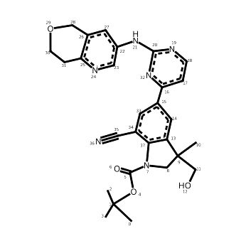 CC(C)(C)OC(=O)N1CC(C)(CO)c2cc(-c3ccnc(Nc4cnc5c(c4)COCC5)n3)cc(C#N)c21